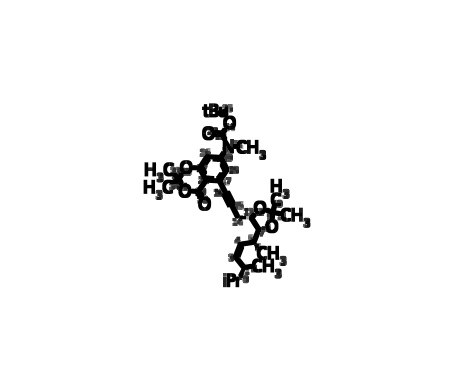 CC(C)[C@H](C)/C=C\[C@@H](C)[C@H]1OC(C)(C)O[C@H]1CC#Cc1cc(N(C)C(=O)OC(C)(C)C)cc2c1C(=O)OC(C)(C)O2